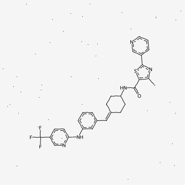 Cc1nc(-c2cccnc2)sc1C(=O)NC1CCC(=Cc2cccc(Nc3ccc(C(F)(F)F)cn3)c2)CC1